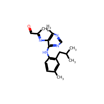 C/C(C=O)=N\c1c(C)ncnc1Nc1ccc(C)cc1CC(C)C